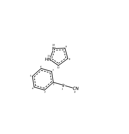 N#[C][Ir][c]1ccccc1.c1cn[nH]c1